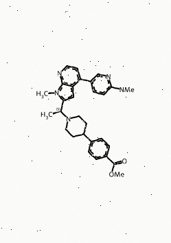 CNc1ccc(-c2ccnc3c2cc([C@H](C)N2CCC(c4ccc(C(=O)OC)cc4)CC2)n3C)cn1